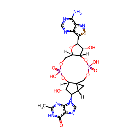 Cc1nc2c(ncn2[C@H]2[C@H](O)[C@@H]3OP(=O)(O)OC[C@H]4O[C@@H](c5snc6c(N)ncnc56)[C@H](O)[C@@H]4OP(=O)(O)OCC34C[C@H]24)c(=O)[nH]1